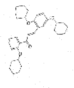 O=C(C=Cc1cc(OC2CCCCC2)ccc1OC1CCCCC1)c1ccccc1OC1CCCCC1